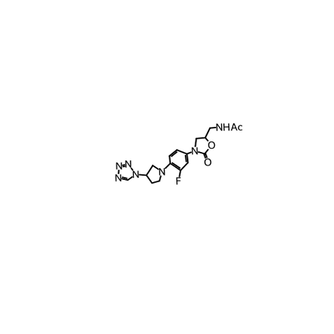 CC(=O)NCC1CN(c2ccc(N3CCC(n4cnnn4)C3)c(F)c2)C(=O)O1